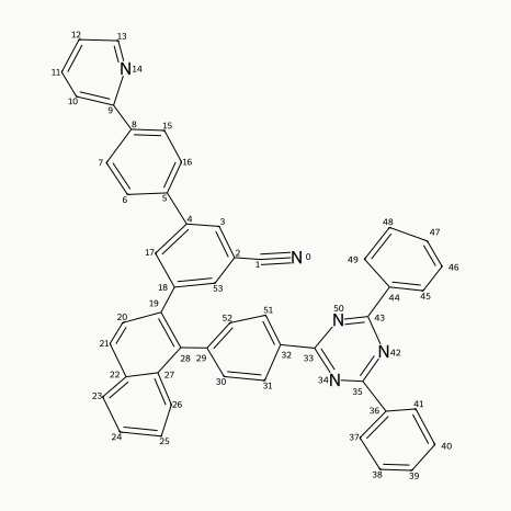 N#Cc1cc(-c2ccc(-c3ccccn3)cc2)cc(-c2ccc3ccccc3c2-c2ccc(-c3nc(-c4ccccc4)nc(-c4ccccc4)n3)cc2)c1